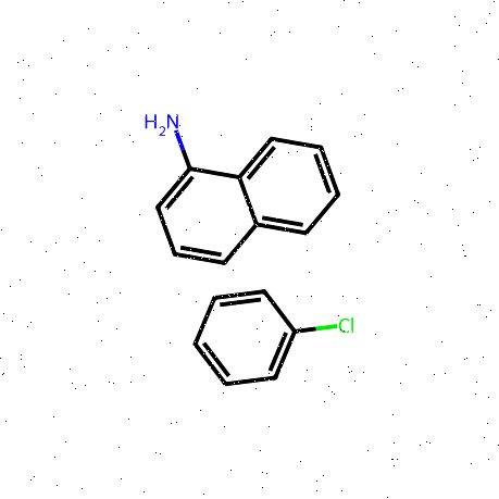 Clc1ccccc1.Nc1cccc2ccccc12